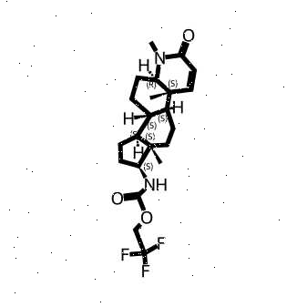 CN1C(=O)C=C[C@]2(C)[C@H]3CC[C@]4(C)[C@@H](NC(=O)OCC(F)(F)F)CC[C@H]4[C@@H]3CC[C@@H]12